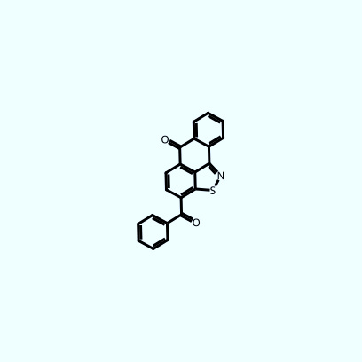 O=C(c1ccccc1)c1ccc2c3c(nsc13)-c1ccccc1C2=O